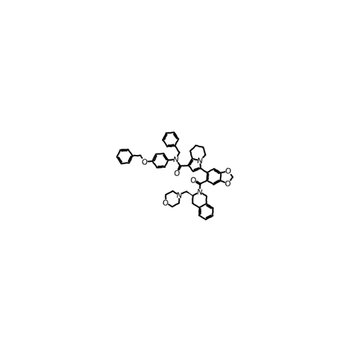 O=C(c1cc(-c2cc3c(cc2C(=O)N2Cc4ccccc4C[C@H]2CN2CCOCC2)OCO3)n2c1CCCC2)N(Cc1ccccc1)c1ccc(OCc2ccccc2)cc1